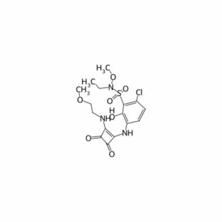 CCN(OC)S(=O)(=O)c1c(Cl)ccc(Nc2c(NCCOC)c(=O)c2=O)c1O